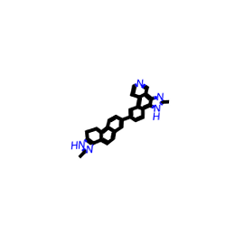 Cc1nc2c([nH]1)CCc1c-2ccc2cc(-c3ccc4c(c3)c3ccncc3c3nc(C)[nH]c43)ccc12